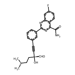 CN(C)CC[C@@](O)(C#Cc1cccc(-c2nc(C(N)=O)c3ccc(F)cc3n2)c1)C=O